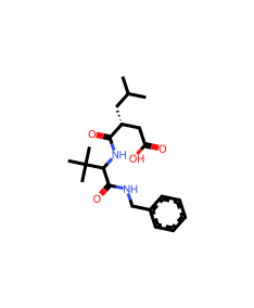 CC(C)C[C@H](CC(=O)O)C(=O)NC(C(=O)NCc1ccccc1)C(C)(C)C